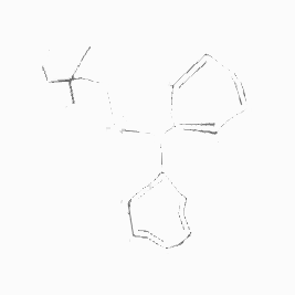 CC(C)(C)ON[SiH](c1ccccc1)c1ccccc1